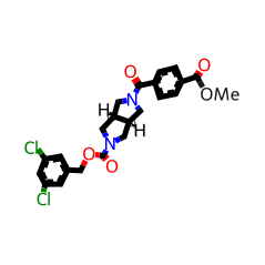 COC(=O)c1ccc(C(=O)N2C[C@H]3CN(C(=O)OCc4cc(Cl)cc(Cl)c4)C[C@@H]3C2)cc1